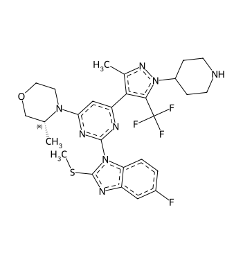 CSc1nc2cc(F)ccc2n1-c1nc(-c2c(C)nn(C3CCNCC3)c2C(F)(F)F)cc(N2CCOC[C@H]2C)n1